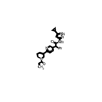 C=CC(=O)N1CCC=C(c2ccc(C(C(=O)Nc3cc(C4CC4)[nH]n3)C(C)C)cn2)C1